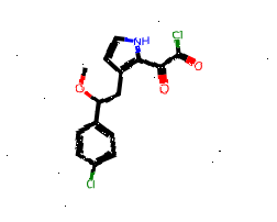 COC(Cc1cc[nH]c1C(=O)C(=O)Cl)c1ccc(Cl)cc1